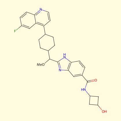 COC(c1nc2cc(C(=O)NC3CC(O)C3)ccc2[nH]1)C1CCC(c2ccnc3ccc(F)cc23)CC1